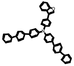 c1ccc(-c2ccc(-c3ccc(N(c4ccc(-c5ccc(-c6ccccc6)cc5)cc4)c4ccc(-c5coc6ccccc56)cc4)cc3)cc2)cc1